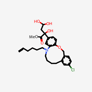 C=CCCCCN1CCCCc2cc(Cl)ccc2COc2ccc(C(O)(CC(O)O)C(=O)OC)cc21